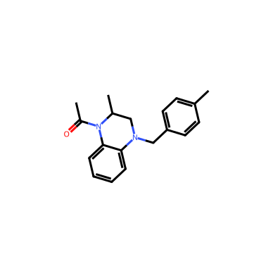 CC(=O)N1c2ccccc2N(Cc2ccc(C)cc2)CC1C